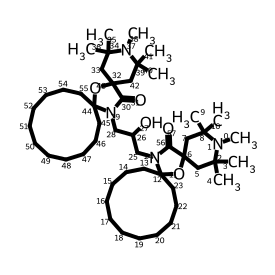 CN1C(C)(C)CC2(CC1(C)C)OC1(CCCCCCCCCCC1)N(CC(O)CN1C(=O)C3(CC(C)(C)N(C)C(C)(C)C3)OC13CCCCCCCCCCC3)C2=O